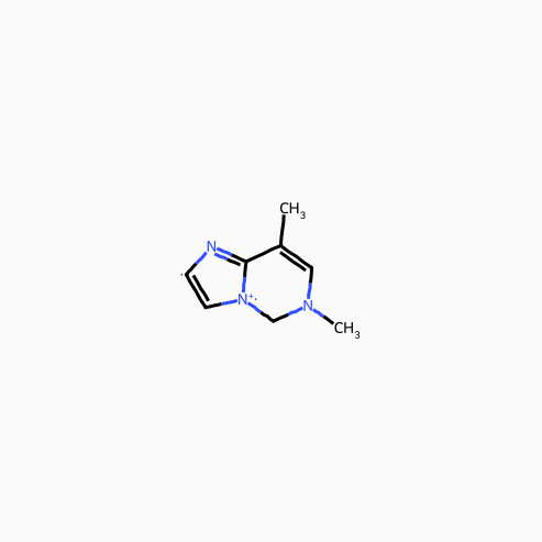 CC1=CN(C)C[N+]2C=[C]N=C12